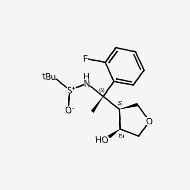 CC(C)(C)[S+]([O-])N[C@](C)(c1ccccc1F)[C@H]1COC[C@H]1O